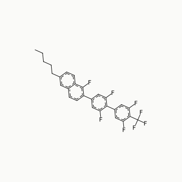 CCCCCc1ccc2c(F)c(-c3cc(F)c(-c4cc(F)c(C(F)(F)F)c(F)c4)c(F)c3)ccc2c1